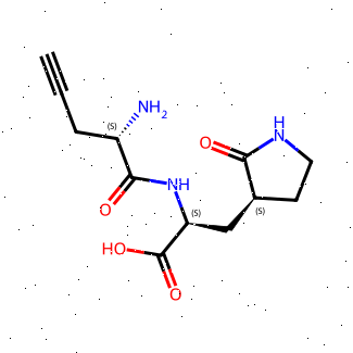 C#CC[C@H](N)C(=O)N[C@@H](C[C@@H]1CCNC1=O)C(=O)O